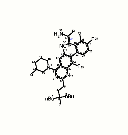 CCCCC(C)(CCCC)CCc1nc(N2CCCC(C)C2)c2cc(C)c(-c3ccc(F)c(C)c3/C(C#N)=C(\C)N)c(F)c2n1